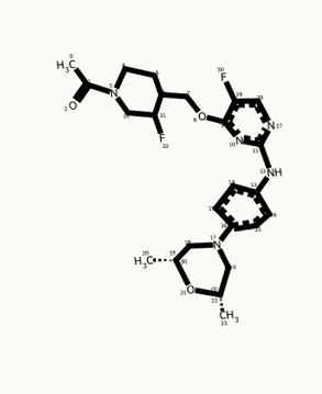 CC(=O)N1CCC(COc2nc(Nc3ccc(N4C[C@@H](C)O[C@@H](C)C4)cc3)ncc2F)C(F)C1